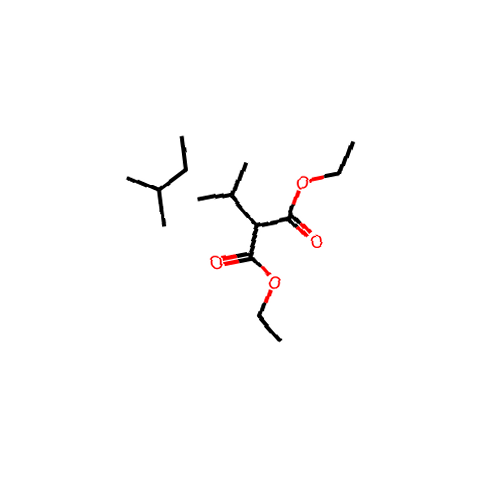 CCC(C)C.CCOC(=O)C(C(=O)OCC)C(C)C